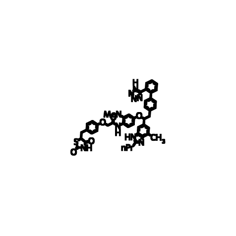 CCCc1nc2c(C)cc(C(Cc3ccc(-c4ccccc4-c4nnn[nH]4)cc3)Oc3ccc(NC(=O)COc4ccc(CC5SC(=O)NC5=O)cc4)c(NC)c3)cc2[nH]1